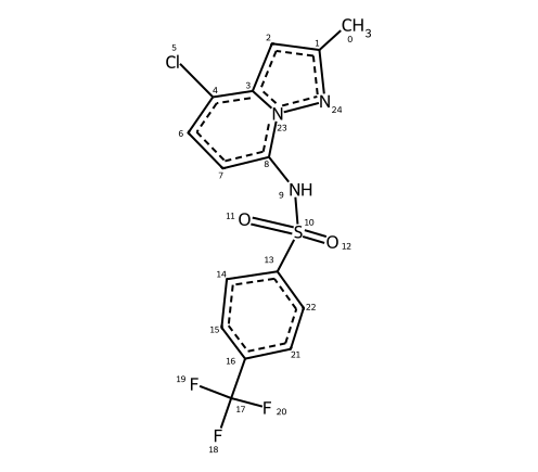 Cc1cc2c(Cl)ccc(NS(=O)(=O)c3ccc(C(F)(F)F)cc3)n2n1